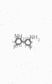 Nc1cc(F)cc(-c2cc(N)cc(F)c2)c1